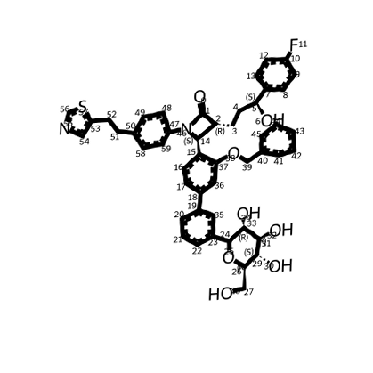 O=C1[C@H](CC[C@H](O)c2ccc(F)cc2)[C@@H](c2ccc(-c3cccc(C4O[C@H](CO)[C@@H](O)[C@H](O)[C@H]4O)c3)cc2OCc2ccccc2)N1c1ccc(CCc2cncs2)cc1